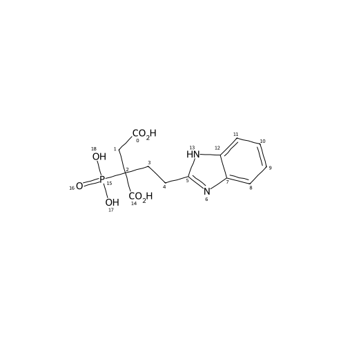 O=C(O)CC(CCc1nc2ccccc2[nH]1)(C(=O)O)P(=O)(O)O